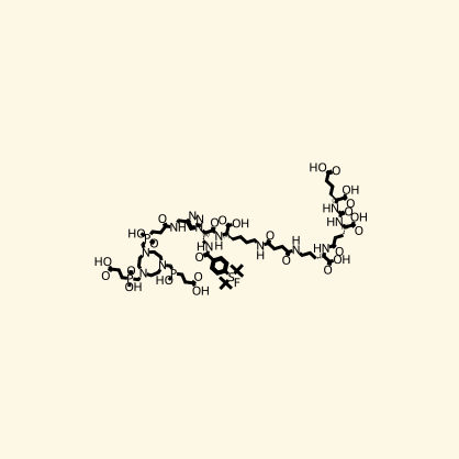 CC(C)(C)S(F)(c1ccc(C(=O)NC[C@@H](C(=O)N[C@H](CCCCNC(=O)CCC(=O)NCCC[C@H](NC(=O)CC[C@H](NC(=O)N[C@@H](CCCC(=O)O)C(=O)O)C(=O)O)C(=O)O)C(=O)O)n2cc(CNC(=O)CCP(=O)(O)CN3CCN(CP(O)CCC(=O)O)CCN(CP(=O)(O)CCC(=O)O)CC3)nn2)cc1)C(C)(C)C